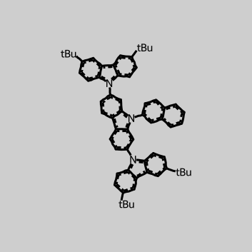 CC(C)(C)c1ccc2c(c1)c1cc(C(C)(C)C)ccc1n2-c1ccc2c3ccc(-n4c5ccc(C(C)(C)C)cc5c5cc(C(C)(C)C)ccc54)cc3n(-c3ccc4ccccc4c3)c2c1